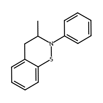 CC1Cc2ccccc2SN1c1ccccc1